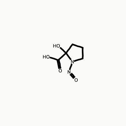 O=NN1CCCC1(O)C(=O)O